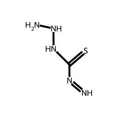 N=NC(=S)NNN